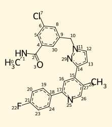 CNC(=O)c1cc(Cl)cc(Cn2ccc(-c3cc(-c4ccc(F)cc4)ncc3C)n2)c1